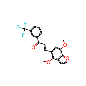 COc1c(/C=C/C(=O)c2cccc(C(F)(F)F)c2)cc(OC)c2occc12